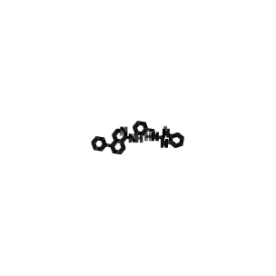 Cn1c(NCc2cccc(Nc3nccc4c(-c5ccccc5)cccc34)c2)nc2ccccc21